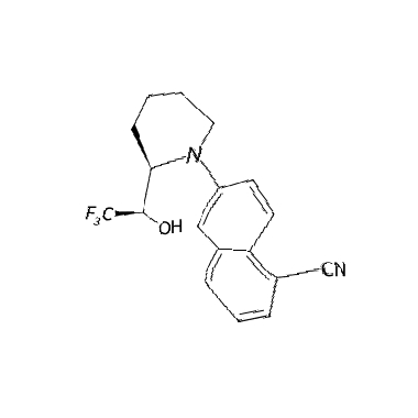 N#Cc1cccc2cc(N3CCCC[C@@H]3[C@@H](O)C(F)(F)F)ccc12